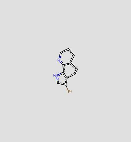 Sc1c[nH]c2c1ccc1cccnc12